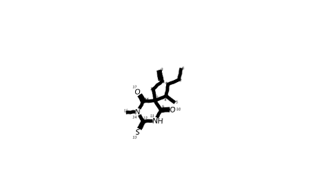 C=CCC1(C(C)CCC)C(=O)NC(=S)N(C)C1=O